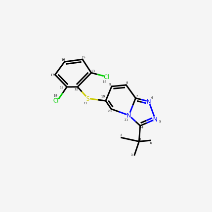 CC(C)(C)c1nnc2ccc(Sc3c(Cl)cccc3Cl)cn12